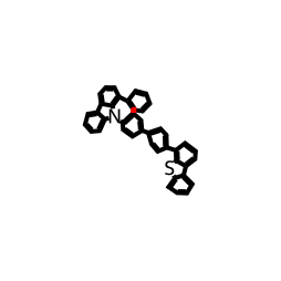 c1ccc(-c2cccc3c4ccccc4n(-c4ccc(-c5ccc(-c6cccc7c6sc6ccccc67)cc5)cc4)c23)cc1